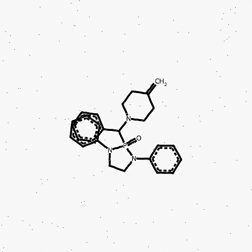 C=C1CCN(C(c2ccccn2)P2(=O)N(c3ccccc3)CCN2c2ccccc2)CC1